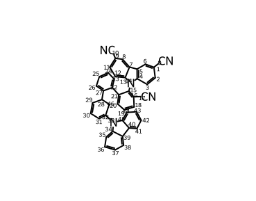 N#Cc1ccc2c(c1)c1cc(C#N)ccc1n2-c1c(C#N)cccc1-c1ccccc1C1C=CC=C(n2c3ccccc3c3ccccc32)C1